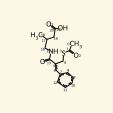 CC(=O)SCC(=Cc1ccccc1)C(=O)NCC(C)CC(=O)O